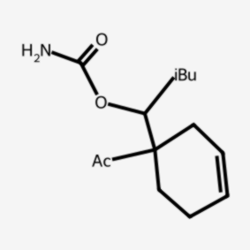 CCC(C)C(OC(N)=O)C1(C(C)=O)CC=CCC1